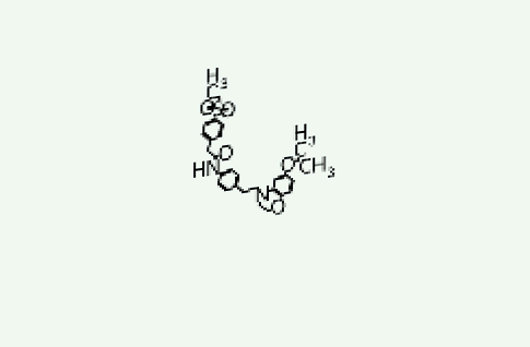 CCS(=O)(=O)c1ccc(CC(=O)Nc2ccc(CCN3CCOc4ccc(OC(C)C)cc43)cc2)cc1